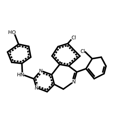 Oc1ccc(Nc2ncc3c(n2)-c2ccc(Cl)cc2C(C2=CC=CCC2Cl)=NC3)cc1